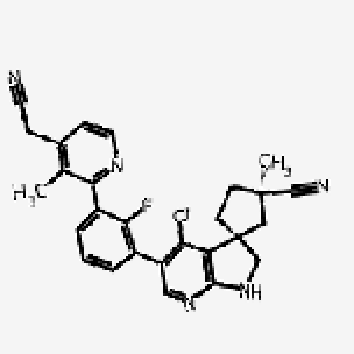 Cc1c(CC#N)ccnc1-c1cccc(-c2cnc3c(c2Cl)[C@@]2(CC[C@@](C)(C#N)C2)CN3)c1F